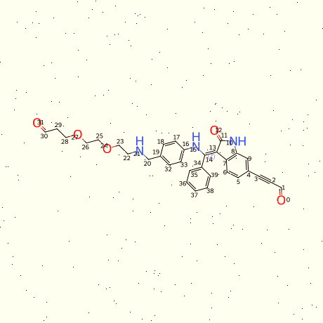 O=CC#Cc1ccc2c(c1)NC(=O)/C2=C(\Nc1ccc(CNCCOCCOCCC=O)cc1)c1ccccc1